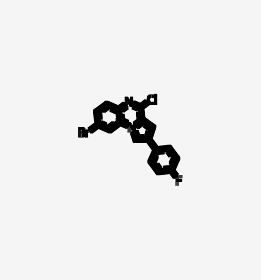 Fc1ccc(-c2cc3c(Cl)nc4ccc(Br)cc4n3c2)cc1